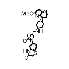 COc1ccc2nccc(N3CCC(NC[C@@H]4CN(c5ccc6c(c5)NC(=O)CS6)C(=O)O4)CC3)c2n1